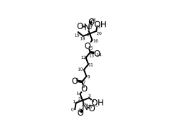 CCC(CO)(COC(=O)CCCCC(=O)OCC(CC)(CO)[N+](=O)[O-])[N+](=O)[O-]